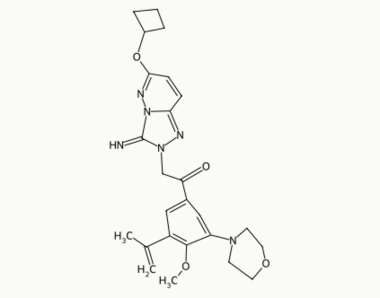 C=C(C)c1cc(C(=O)Cn2nc3ccc(OC4CCC4)nn3c2=N)cc(N2CCOCC2)c1OC